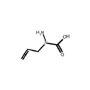 C=CCN(N)C(=O)O